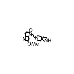 COc1cnc2ccc(=O)n(CCN3CCC4(CCNC4)CC3)c2c1